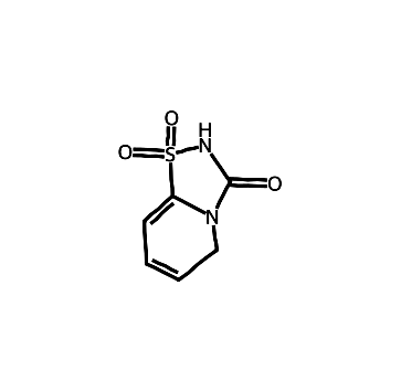 O=C1NS(=O)(=O)C2=CC=CCN12